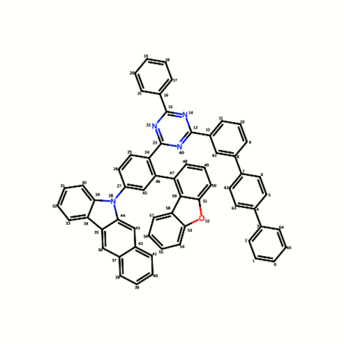 c1ccc(-c2ccc(-c3cccc(-c4nc(-c5ccccc5)nc(-c5ccc(-n6c7ccccc7c7cc8ccccc8cc76)cc5-c5cccc6oc7ccccc7c56)n4)c3)cc2)cc1